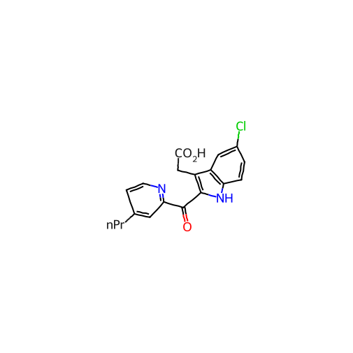 CCCc1ccnc(C(=O)c2[nH]c3ccc(Cl)cc3c2CC(=O)O)c1